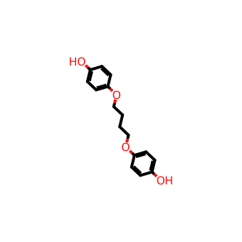 Oc1ccc(OCCCCOc2ccc(O)cc2)cc1